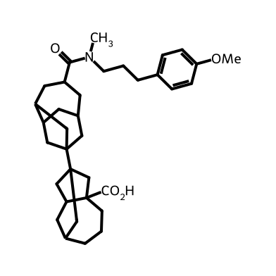 COc1ccc(CCCN(C)C(=O)C2CC3CC4CC(C56CC7CCCC(C(=O)O)(C5)C(C7)C6)(C3)CC4C2)cc1